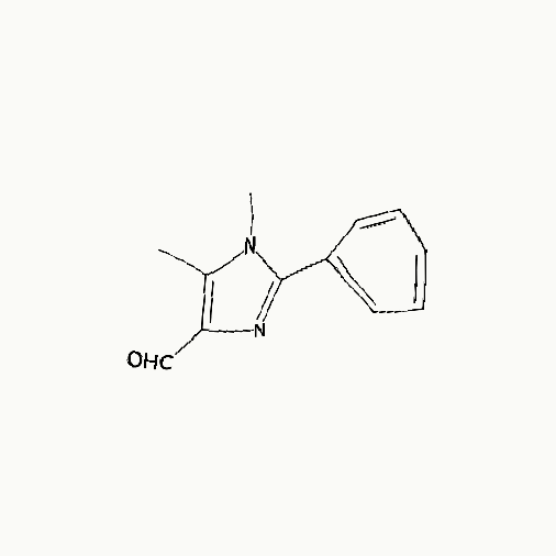 Cc1c(C=O)nc(-c2ccccc2)n1C